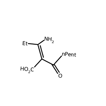 CCCCCC(=O)C(C(=O)O)=C(N)CC